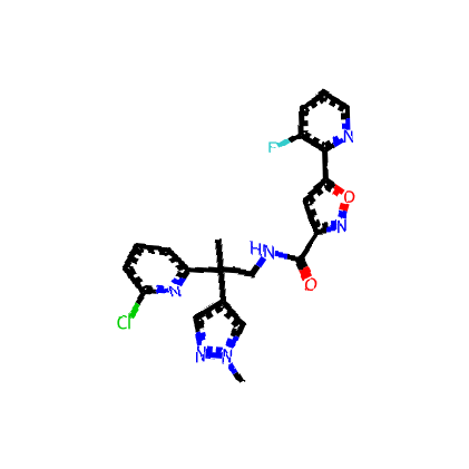 Cn1cc(C(C)(CNC(=O)c2cc(-c3ncccc3F)on2)c2cccc(Cl)n2)cn1